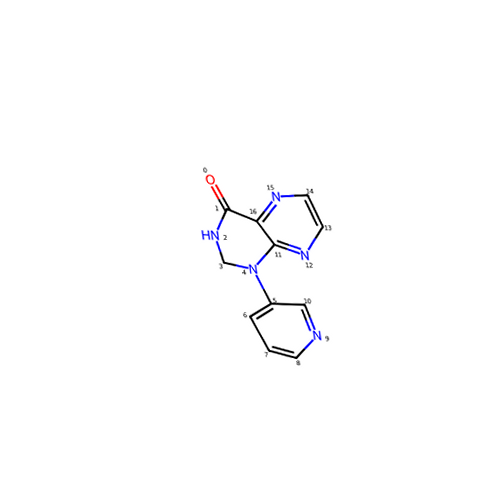 O=C1NCN(c2cccnc2)c2nccnc21